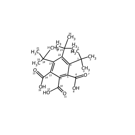 CC(C)(C)c1c(C(=O)O)c(C(=O)O)c(C(=O)O)c(C(C)(C)C)c1C(C)(C)C